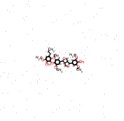 CCCc1cc(OC)c(O)c(Oc2c(OC)cc(C3OCC4C(c5cc(OC)c(O)c(OC)c5)OCC34)cc2OC)c1